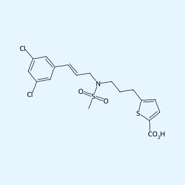 CS(=O)(=O)N(C/C=C/c1cc(Cl)cc(Cl)c1)CCCc1ccc(C(=O)O)s1